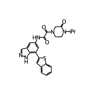 CC(C)N1CCN(C(=O)C(=O)Nc2cc(-c3cc4ccccc4s3)c3[nH]ncc3c2)CC1=O